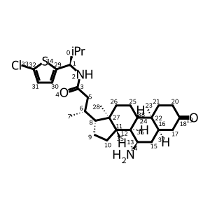 CC(C)[C@@H](NC(=O)C[C@@H](C)[C@H]1CC[C@H]2[C@@H]3[C@H](N)C[C@@H]4CC(=O)CC[C@]4(C)[C@H]3CC[C@]12C)c1ccc(Cl)s1